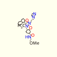 COCCNC(=O)c1ccc(CN2C(=O)N(CCCn3ccnc3)C(=O)C2(C)c2cccc3ccccc23)cc1